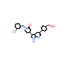 O=c1cc(-c2c[nH]c3ncc(-c4ccc(CO)cc4)cc23)ccn1Cc1cccc(Cl)c1